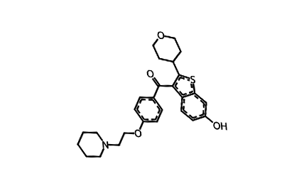 O=C(c1ccc(OCCN2CCCCC2)cc1)c1c(C2CCOCC2)sc2cc(O)ccc12